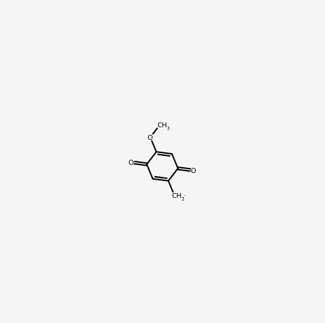 [CH2]C1=CC(=O)C(OC)=CC1=O